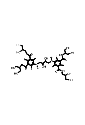 CC(=O)N(CC(O)C(O)CN(C(C)=O)c1c(I)c(C(=O)NCC(O)CO)c(I)c(C(=O)NC(CO)CO)c1I)c1c(I)c(C(=O)CCC(O)CO)c(I)c(C(=O)CC(CO)CO)c1I